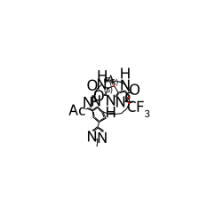 CC(=O)c1nn2c3c(cc(-c4cnc(C)nc4)cc13)C=CCCCCC(=O)NC[C@@]13C[C@@H](C(=O)Nc4nc(C(F)(F)F)ccc4C)N(C(=O)C2)[C@@H]1C3